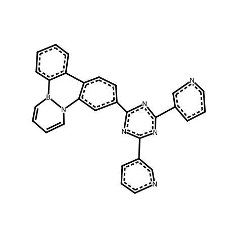 C1=CB2c3ccccc3-c3ccc(-c4nc(-c5cccnc5)nc(-c5cccnc5)n4)cc3N2C=C1